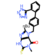 CCCCc1nc2[nH]c(=S)n(C)c(=O)c2n1Cc1ccc(-c2ccccc2-c2nnn[nH]2)cc1